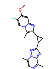 COc1cc2nc(C3CC3c3nc4c(C)ncc(C)n4n3)c(C)n2cc1F